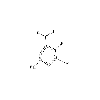 CC(C)c1cc(C(F)(F)F)cc(C(F)F)c1F